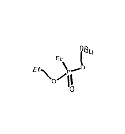 CCCCOP(=O)(CC)OCC